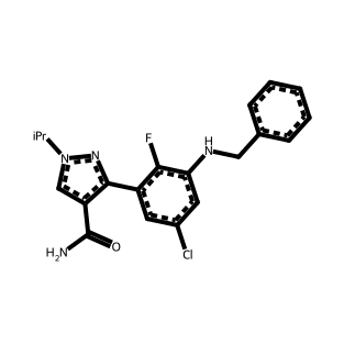 CC(C)n1cc(C(N)=O)c(-c2cc(Cl)cc(NCc3ccccc3)c2F)n1